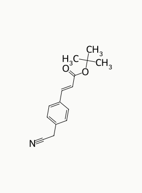 CC(C)(C)OC(=O)C=Cc1ccc(CC#N)cc1